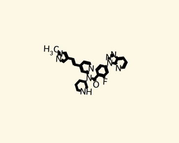 Cn1cc(/C=C/c2ccnc(N(C(=O)c3ccc(-n4nnc5cccnc54)cc3F)[C@@H]3CCCNC3)c2)cn1